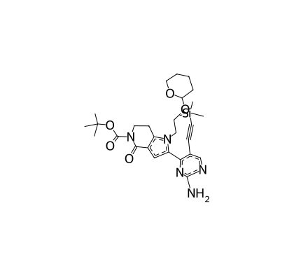 CC(C)(C)OC(=O)N1CCc2c(cc(-c3nc(N)ncc3C#C[Si](C)(C)C)n2CCOC2CCCCO2)C1=O